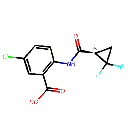 O=C(O)c1cc(Cl)ccc1NC(=O)[C@H]1CC1(F)F